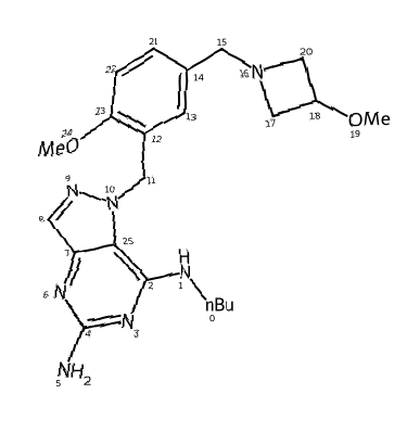 CCCCNc1nc(N)nc2cnn(Cc3cc(CN4CC(OC)C4)ccc3OC)c12